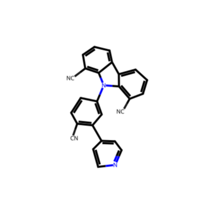 N#Cc1ccc(-n2c3c(C#N)cccc3c3cccc(C#N)c32)cc1-c1ccncc1